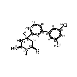 CN1C(=N)N[C@](C)(c2cc(-c3cc(Cl)cc(Cl)c3)ccn2)CC1=O